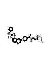 CN(C)CCNC(=O)C1CCN(C2=CC3NC(NC(=O)NC4CCCC4)=CC=C3N=C2)CC1